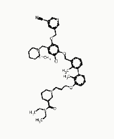 CCN(CC)C(=O)C1CCCN(CCCOc2cccc(-c3cccc(COc4cc(OCc5cncc(C#N)c5)c(CN5CCCC[C@H]5C)cc4Cl)c3C)c2C)C1